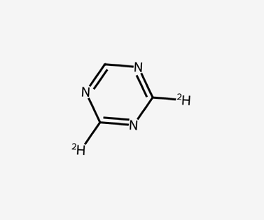 [2H]c1ncnc([2H])n1